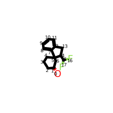 O=C1CCCC2(C1)c1ccccc1CC2C(F)F